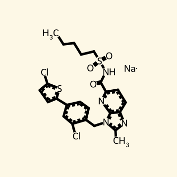 CCCCCS(=O)(=O)NC(=O)c1ccc2nc(C)n(Cc3ccc(-c4ccc(Cl)s4)cc3Cl)c2n1.[Na]